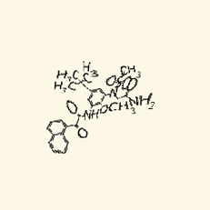 COc1c(NC(=O)C(=O)c2cccc3ccccc23)cc(C(C)(C)C)cc1N(CC(N)=O)S(C)(=O)=O